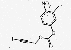 Cc1cc(OC(=O)OCC#CI)ccc1[N+](=O)[O-]